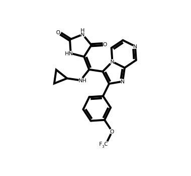 O=C1NC(=O)C(=C(NC2CC2)c2c(-c3cccc(OC(F)(F)F)c3)nc3cnccn23)N1